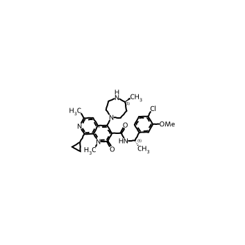 COc1cc([C@H](C)NC(=O)c2c(N3CCN[C@@H](C)CC3)c3cc(C)nc(C4CC4)c3n(C)c2=O)ccc1Cl